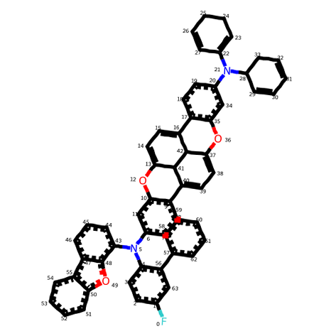 Fc1ccc(N(c2ccc3c(c2)OC2=CC=C4c5ccc(N(C6=CCCC=C6)C6C=CC=CC6)cc5OC5=CC=C3C2C54)c2cccc3c2oc2ccccc23)c(-c2ccccc2)c1